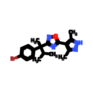 Cc1n[nH]c(C)c1-c1nc(C(C)(c2ccc(Br)cc2)C(C)C)no1